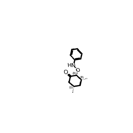 C[C@@H]1CC(=O)[C@H](ONc2ccccc2)[C@H](C)C1